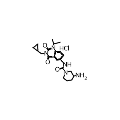 CC(C)n1c(=O)n(CC2CC2)c(=O)c2cc(NC(=O)N3CCCC(N)C3)ccc21.Cl